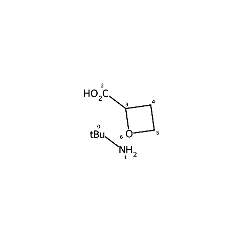 CC(C)(C)N.O=C(O)C1CCO1